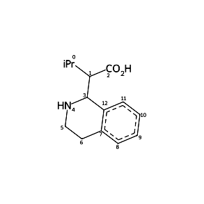 CC(C)C(C(=O)O)C1NCCc2ccccc21